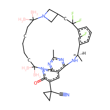 BC1(B)CCCCCC(B)(B)n2c(=O)c(C3(C#N)CC3)cc3c(nc(C)nc32)N[C@H](C)c2cccc(c2F)C(F)(F)CC2CN1C2